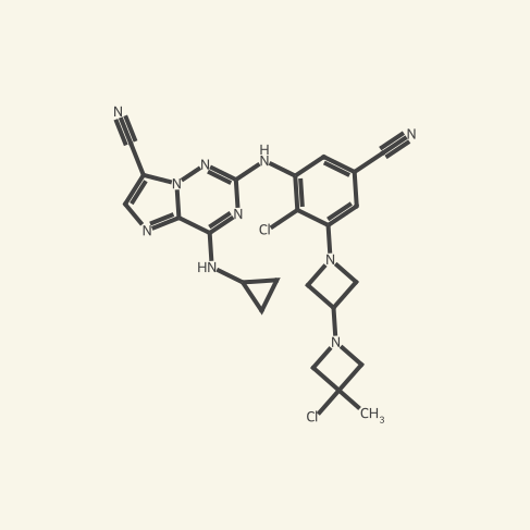 CC1(Cl)CN(C2CN(c3cc(C#N)cc(Nc4nc(NC5CC5)c5ncc(C#N)n5n4)c3Cl)C2)C1